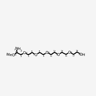 COC(N)COCCOCCOCCOCCOCCO